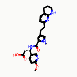 COc1ccc([C@H](CC(=O)O)NC(=O)c2cc(CCc3ccc4c(n3)NCCC4)cn2C)cn1